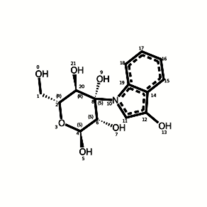 OC[C@H]1O[C@H](O)[C@@H](O)[C@](O)(n2cc(O)c3ccccc32)[C@@H]1O